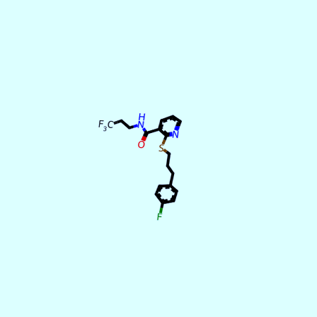 O=C(NCCC(F)(F)F)c1cccnc1SCCCc1ccc(F)cc1